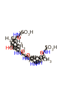 C[C@H](CCC(=O)NCCS(=O)(=O)O)[C@H]1CC[C@H]2C3[C@H](CC[C@]12C)[C@@]1(C)CC[C@@H](NC(=O)CCCC(=O)N[C@H]2CC[C@]4(C)C(C2)C[C@@H](O)C2[C@H]5CC[C@@H]([C@@H](C)CCC(=O)NCCS(=O)(=O)O)[C@]5(C)CC[C@H]24)CC1CC31NN1